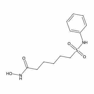 O=C(CCCCCS(=O)(=O)Nc1ccccc1)NO